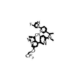 CC(c1ccc(-n2cc(F)cn2)nc1)N(C)c1ccc(-c2cc(OCC(F)(F)F)cn3ncc(C#N)c23)cn1